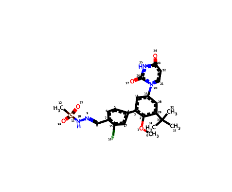 COc1c(-c2ccc(C=NNS(C)(=O)=O)c(F)c2)cc(-n2ccc(=O)[nH]c2=O)cc1C(C)(C)C